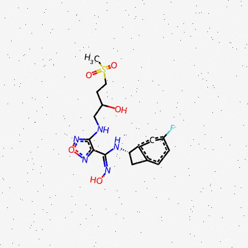 CS(=O)(=O)CCC(O)CNc1nonc1/C(=N\O)N[C@H]1Cc2ccc(F)cc21